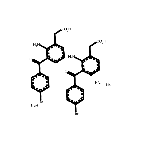 Nc1c(CC(=O)O)cccc1C(=O)c1ccc(Br)cc1.Nc1c(CC(=O)O)cccc1C(=O)c1ccc(Br)cc1.[NaH].[NaH].[NaH]